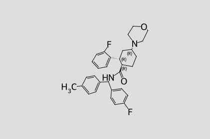 Cc1ccc(C(NC(=O)[C@@H]2CC[C@@H](N3CCOCC3)C[C@H]2c2ccccc2F)c2ccc(F)cc2)cc1